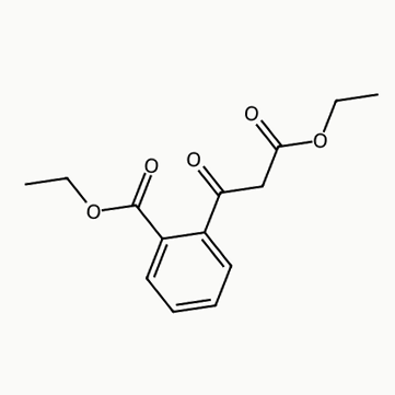 CCOC(=O)CC(=O)c1ccccc1C(=O)OCC